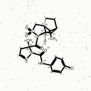 CC1(C)C2CC[C@]13CS(=O)(=O)N(C(=O)[C@@]1(C)CC=NN1C(=O)Nc1ccc(Cl)cc1)[C@@H]3C2